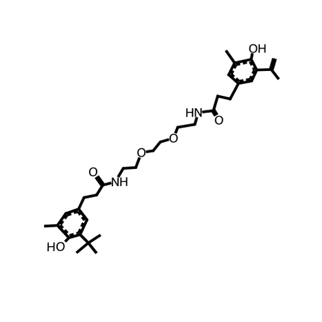 C=C(C)c1cc(CCC(=O)NCCOCCOCCNC(=O)CCc2cc(C)c(O)c(C(C)(C)C)c2)cc(C)c1O